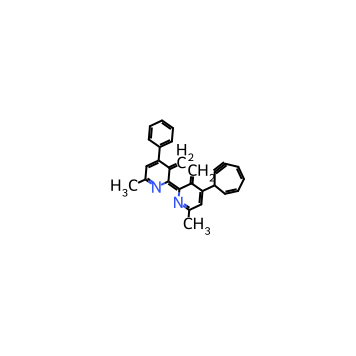 C=c1c(-c2ccccc2)cc(C)n/c1=c1\nc(C)cc(C2C#CC=CC=C2)c1=C